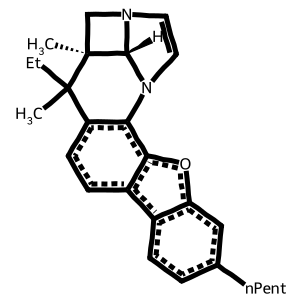 CCCCCc1ccc2c(c1)oc1c3c(ccc12)C(C)(CC)[C@@]1(C)CN2C=CN3[C@@H]21